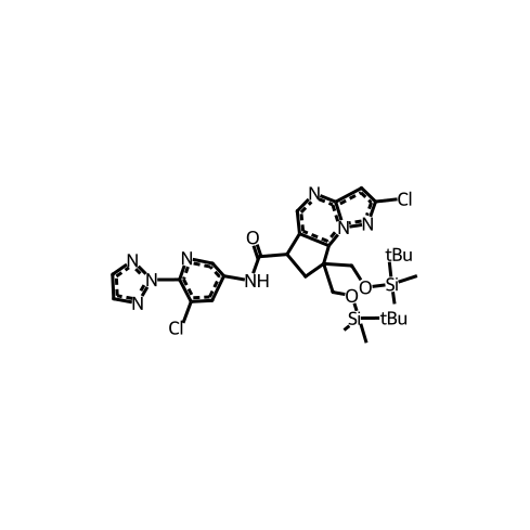 CC(C)(C)[Si](C)(C)OCC1(CO[Si](C)(C)C(C)(C)C)CC(C(=O)Nc2cnc(-n3nccn3)c(Cl)c2)c2cnc3cc(Cl)nn3c21